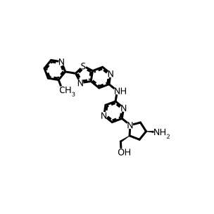 Cc1cccnc1-c1nc2cc(Nc3cncc(N4C[C@@H](N)C[C@H]4CO)n3)ncc2s1